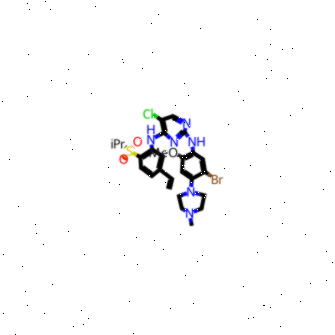 C=Cc1ccc(S(=O)(=O)C(C)C)c(Nc2nc(Nc3cc(Br)c(N4CCN(C)CC4)cc3OC)ncc2Cl)c1